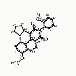 COc1cccc2c1ncc1c(=O)n(-c3ccccc3C)c(=O)n(C3CCCC3)c12